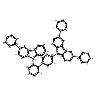 c1ccc(-c2ccc3c(c2)c2cc(-c4ccccc4)ccc2n3-c2ccc(-c3ccccc3-n3c4ccccc4c4cc(-c5ccccc5)ccc43)cc2)cc1